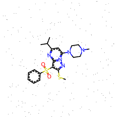 CSc1nn2c(N3CCN(C)CC3)cc(C(C)C)nc2c1S(=O)(=O)c1ccccc1